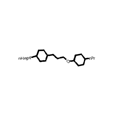 CCCCCCCC1CCC(CCCOC2CCC(CCC)CC2)CC1